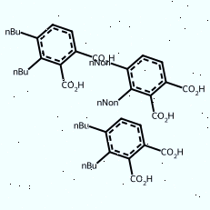 CCCCCCCCCc1ccc(C(=O)O)c(C(=O)O)c1CCCCCCCCC.CCCCc1ccc(C(=O)O)c(C(=O)O)c1CCCC.CCCCc1ccc(C(=O)O)c(C(=O)O)c1CCCC